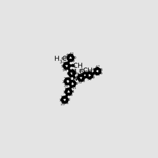 C#Cc1c(-c2ccc(N(C3=CCC(c4ccc(-c5ccccc5)cc4)C4=C3CCC=C4)c3ccc4c(c3)C(C)(C)c3cc(-c5ccccc5)ccc3-4)cc2)cccc1-c1ccccc1C